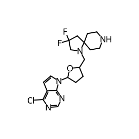 FC1(F)CN(CC2CCC(n3ccc4c(Cl)ncnc43)O2)C2(CCNCC2)C1